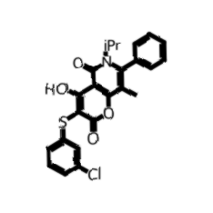 Cc1c(-c2ccccc2)n(C(C)C)c(=O)c2c(O)c(Sc3cccc(Cl)c3)c(=O)oc12